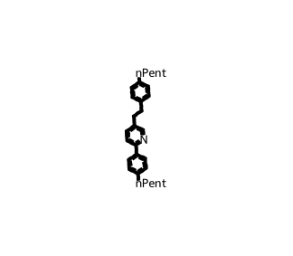 CCCCCc1ccc(CCc2ccc(-c3ccc(CCCCC)cc3)nc2)cc1